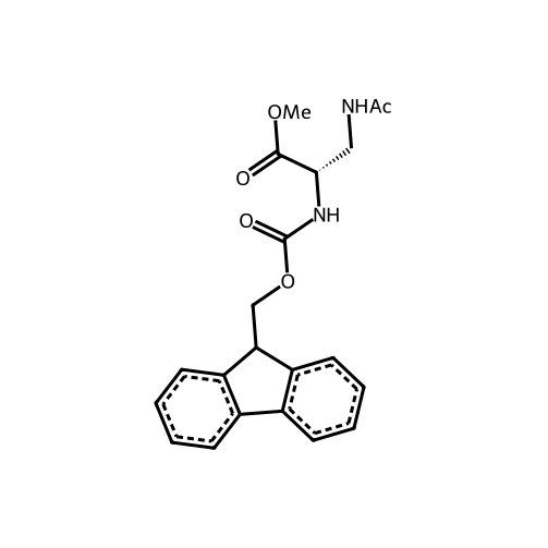 COC(=O)[C@H](CNC(C)=O)NC(=O)OCC1c2ccccc2-c2ccccc21